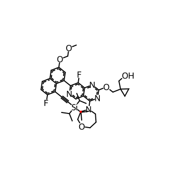 COCOc1cc(-c2ncc3c(N4CCCOCC4)nc(OCC4(CO)CC4)nc3c2F)c2c(C#C[Si](C(C)C)(C(C)C)C(C)C)c(F)ccc2c1